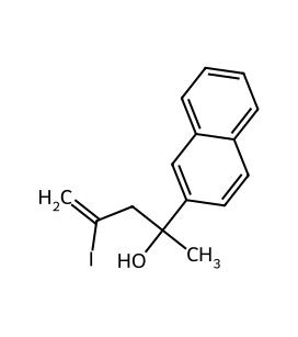 C=C(I)CC(C)(O)c1ccc2ccccc2c1